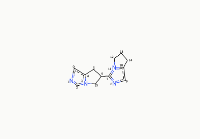 c1ncn2c1CC(c1ncc3n1CCC3)C2